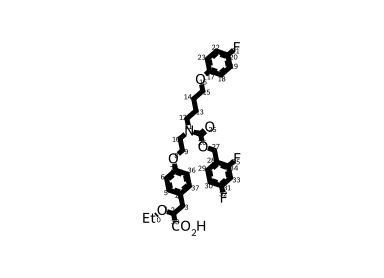 CCOC(Cc1ccc(OCCN(CCCCOc2ccc(F)cc2)C(=O)OCc2ccc(F)cc2F)cc1)C(=O)O